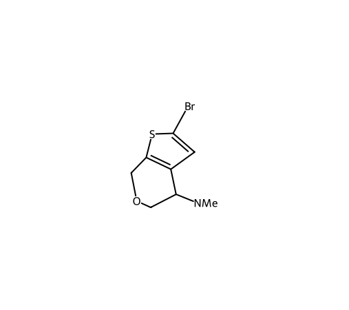 CNC1COCc2sc(Br)cc21